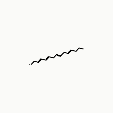 [CH2]CC=CC=CCC=CCC=CCCC